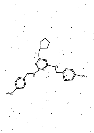 COc1ccc(CNc2nc(NCc3ccc(OC)cc3)nc(NC3CCCC3)n2)cc1